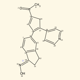 CC(=O)C1=CC(c2ccc3c(c2)CC/C3=N\O)=C(c2ccncc2)C1